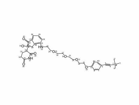 C[Si](C)(C)C#Cc1ccc(OCCOCCOCCOCCNc2cccc3c2C[N+]([O-])(C2CCC(=O)NC2=O)C3=O)cc1